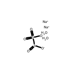 O.O.O=S([O-])S(=O)(=O)[O-].[Na+].[Na+]